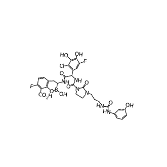 O=C(NCCCN1CCN(C(=O)NC(C(=O)NC2Cc3ccc(F)c(C(=O)O)c3OB2O)c2cc(F)c(O)c(O)c2Cl)C1=O)Nc1cccc(O)c1